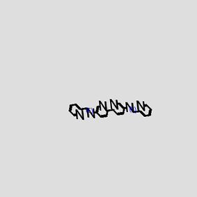 C(=N\c1ccc(-c2ccc(/N=C/c3ccccn3)cn2)nc1)/c1ccccn1